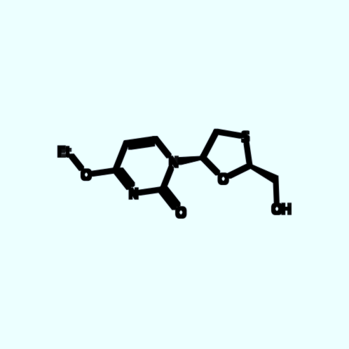 CCOc1ccn([C@H]2CS[C@@H](CO)O2)c(=O)n1